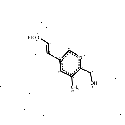 CCOC(=O)/C=C/c1cnc(CO)c(C)c1